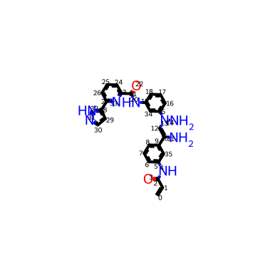 C=CC(=O)Nc1cccc(/C(N)=C/N(N)c2cccc(NC(=O)c3cccc(-c4ccn[nH]4)n3)c2)c1